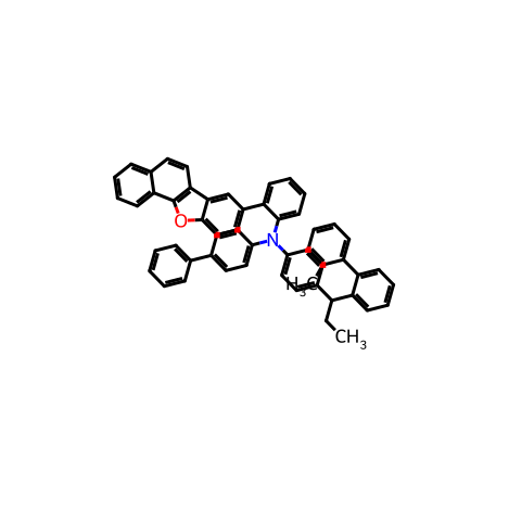 CCC(c1ccc(N(c2ccc(-c3ccccc3)cc2)c2ccccc2-c2ccc3oc4c5ccccc5ccc4c3c2)cc1)c1ccccc1-c1ccccc1C